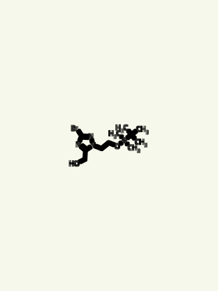 CC(C)(C)[Si](C)(C)OCCn1nc(Br)nc1CO